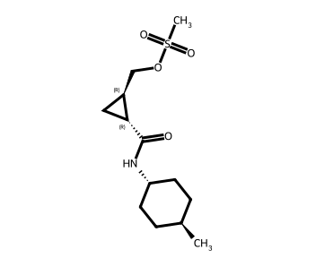 CS(=O)(=O)OC[C@@H]1C[C@H]1C(=O)N[C@H]1CC[C@H](C)CC1